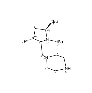 CC(C)(C)[C@@H]1C[C@@H](F)C(CN2CCNCC2)N1C(C)(C)C